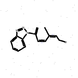 C=C(/C=C\C(C)=C/CF)n1nnc2ccccc21